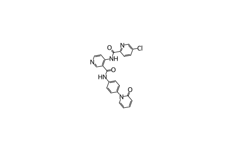 O=C(Nc1ccncc1C(=O)Nc1ccc(-n2ccccc2=O)cc1)c1ccc(Cl)cn1